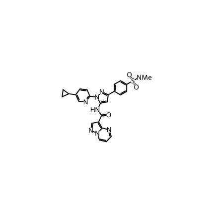 CNS(=O)(=O)c1ccc(-c2cc(NC(=O)c3cnn4cccnc34)n(-c3ccc(C4CC4)cn3)n2)cc1